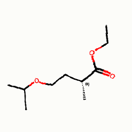 CCOC(=O)[C@H](C)CCOC(C)C